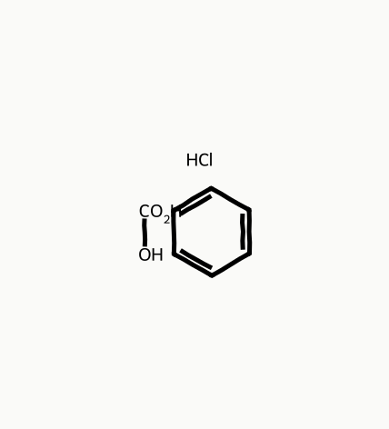 Cl.O=C(O)O.c1ccccc1